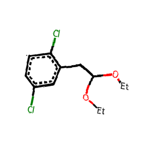 CCOC(Cc1cc(Cl)c[c]c1Cl)OCC